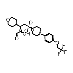 O=CN(O)C(CS(=O)(=O)N1CCN(c2ccc(OCC(F)(F)F)cc2)CC1)C1CCOCC1